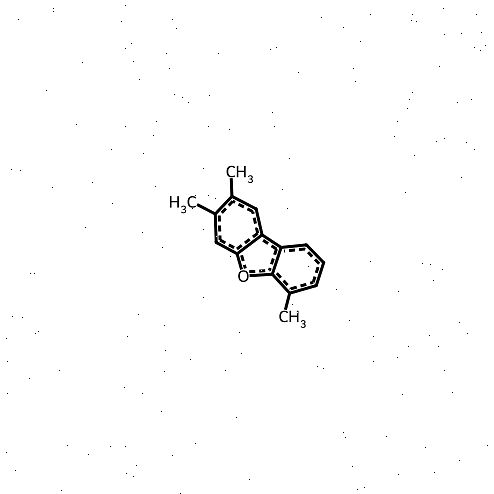 Cc1cc2oc3c(C)cccc3c2cc1C